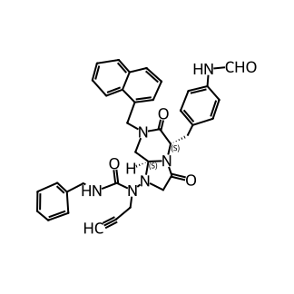 C#CCN(C(=O)NCc1ccccc1)N1CC(=O)N2[C@@H](Cc3ccc(NC=O)cc3)C(=O)N(Cc3cccc4ccccc34)C[C@@H]21